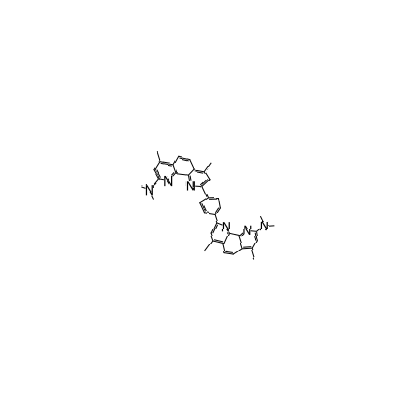 Cc1cc(-c2ccc(-c3cc(C)c4ccc5c(C)cc(N(C)C)nc5c4n3)cc2)nc2c1ccc1c(C)cc(N(C)C)nc12